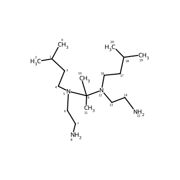 CC(C)CCN(CCN)C(C)(C)N(CCN)CCC(C)C